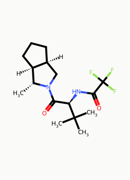 C[C@@H]1[C@H]2CCC[C@H]2CN1C(=O)[C@@H](NC(=O)C(F)(F)F)C(C)(C)C